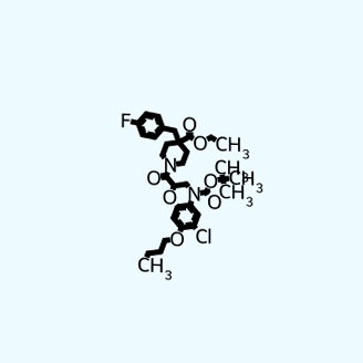 CCCCOc1cc2c(cc1Cl)N(C(=O)OC(C)(C)C)CC(C(=O)N1CCC(Cc3ccc(F)cc3)(C(=O)OCC)CC1)O2